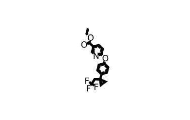 CCOC(=O)c1ccc(Oc2ccc(C3(CC(F)(F)F)CC3)cc2)nc1